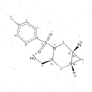 Cc1ccc(S(=O)(=O)N2C[C@@H]3C[C@@H]3C[C@H]2CO)cc1